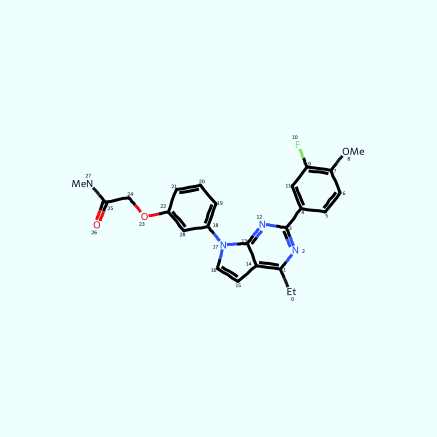 CCc1nc(-c2ccc(OC)c(F)c2)nc2c1ccn2-c1cccc(OCC(=O)NC)c1